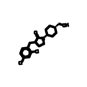 O=C1C(Cc2ccc(Cl)cc2Cl)CCN1[C@H]1CC[C@@H](CO)CC1